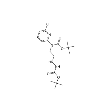 CC(C)(C)OC(=O)NNCCN(C(=O)OC(C)(C)C)c1cccc(Cl)n1